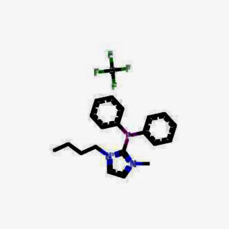 CCCC[n+]1ccn(C)c1P(c1ccccc1)c1ccccc1.F[B-](F)(F)F